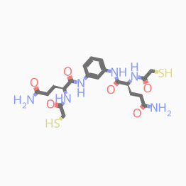 NC(=O)CC[C@H](NC(=O)CS)C(=O)Nc1cccc(NC(=O)[C@H](CCC(N)=O)NC(=O)CS)c1